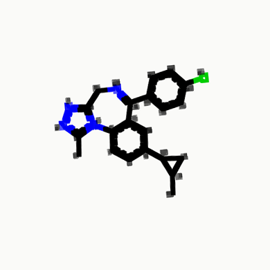 Cc1nnc2n1-c1ccc(C3CC3C)cc1C(c1ccc(Cl)cc1)=NC2